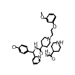 COc1cccc(OCCN2CCC(C(=O)NC(c3ccc(Cl)cc3)c3ccccn3)CC2)c1.NC(=O)C1CCNCC1